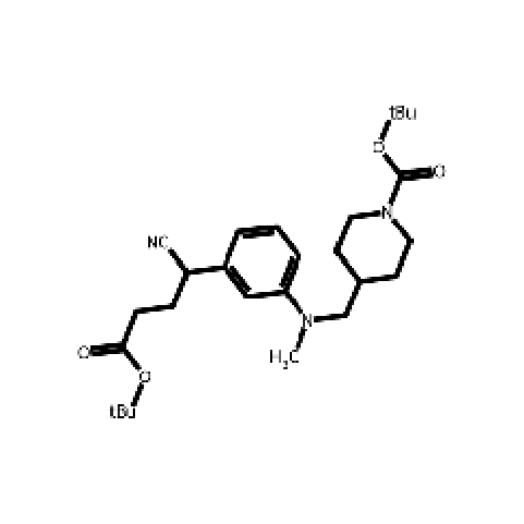 CN(CC1CCN(C(=O)OC(C)(C)C)CC1)c1cccc(C(C#N)CCC(=O)OC(C)(C)C)c1